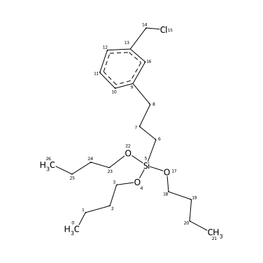 CCCCO[Si](CCCc1cccc(CCl)c1)(OCCCC)OCCCC